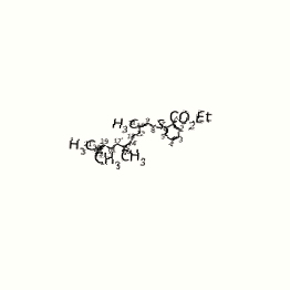 CCOC(=O)c1ccccc1SCC=C(C)CCC=C(C)CCC=C(C)C